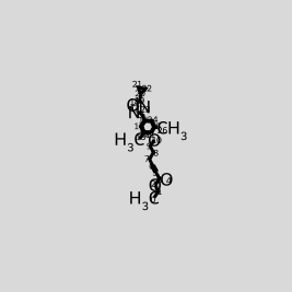 CCOC(=O)C#CCCCOc1c(C)cc(-c2noc(C3CC3)n2)cc1C